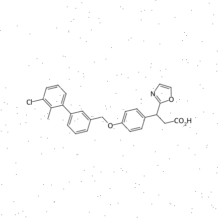 Cc1c(Cl)cccc1-c1cccc(COc2ccc(C(CC(=O)O)c3ncco3)cc2)c1